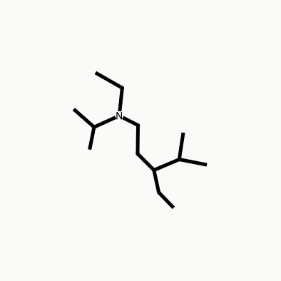 CCC(CCN(CC)C(C)C)C(C)C